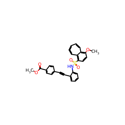 COC(=O)c1ccc(C#Cc2ccccc2NS(=O)(=O)c2ccc(OC)c3c2C=C=CC=C3)cc1